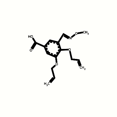 C=CCOc1cc(C(=O)O)cc(C=NOC)c1OCC=C